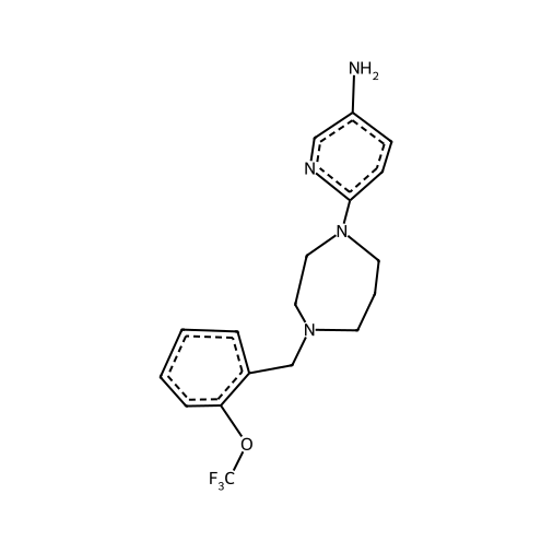 Nc1ccc(N2CCCN(Cc3ccccc3OC(F)(F)F)CC2)nc1